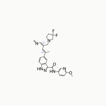 C=N/C=C(\C=C(/C)c1ccc2[nH]nc(C(=O)Nc3ccc(OC)nc3)c2c1)CN1CCC(F)(F)C1